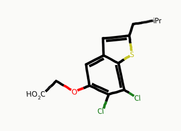 CC(C)Cc1cc2cc(OCC(=O)O)c(Cl)c(Cl)c2s1